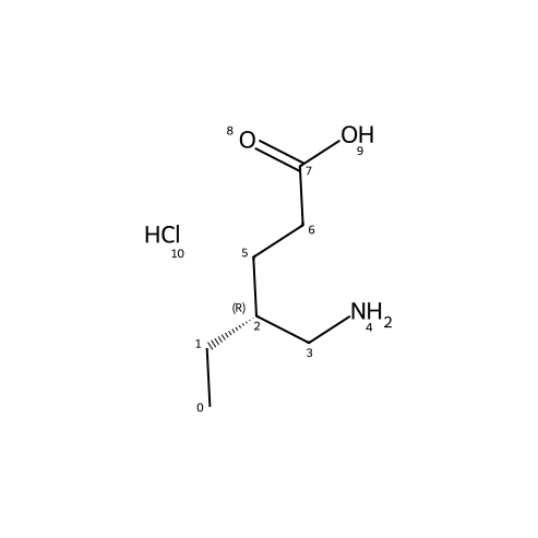 CC[C@@H](CN)CCC(=O)O.Cl